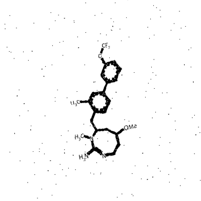 COC1CC/N=C(/N)N(C)C(Cc2ccc(-c3cccc(OC(F)(F)F)c3)cc2C)C1